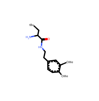 COc1ccc(CCNC(=O)C(N)CC(C)(C)C)cc1OC